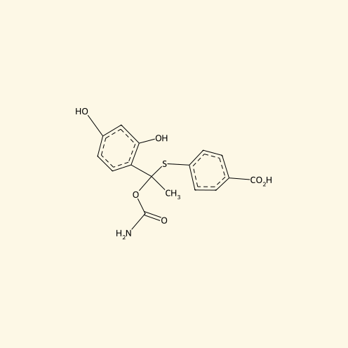 CC(OC(N)=O)(Sc1ccc(C(=O)O)cc1)c1ccc(O)cc1O